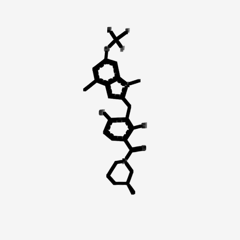 Cc1cc(OC(F)(F)F)cc2c1cc(Cc1c(Cl)ccc(C(=O)N3CCC[C@H](C)C3)c1Cl)n2C